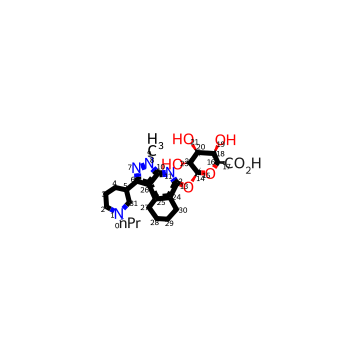 CCCN1CCCC(c2nn(C)c3nc(O[C@@H]4O[C@H](C(=O)O)[C@H](O)[C@H](O)[C@H]4O)c4c(c23)CCCC4)C1